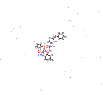 Cc1ccc(NC(=O)Oc2occc2C)c(OCC(O)CN2CCC(Oc3ccc(F)cc3)C2)c1